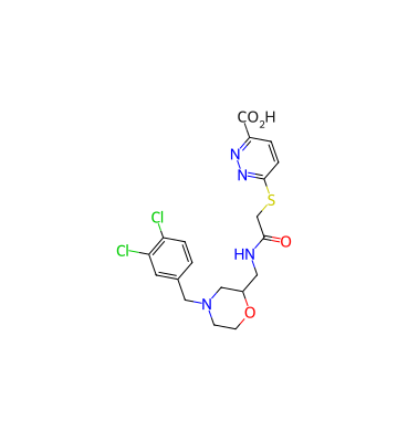 O=C(CSc1ccc(C(=O)O)nn1)NCC1CN(Cc2ccc(Cl)c(Cl)c2)CCO1